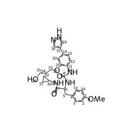 COc1ccc(CC(NC(=O)Nc2ccc(-c3cn[nH]c3)cc2OCCCO)C(=O)NC2CC2)cc1